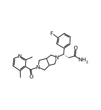 Cc1ccnc(C)c1C(=O)N1CC2CN([C@@H](CC(N)=O)c3cccc(F)c3)CC2C1